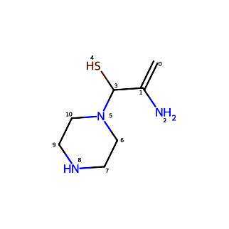 C=C(N)C(S)N1CCNCC1